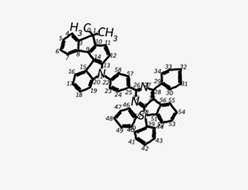 CC1(C)c2ccccc2-c2c1ccc1c2c2ccccc2n1-c1ccc(-c2nc(-c3ccccc3)c3c(n2)[Si](c2ccccc2)(c2ccccc2)c2ccccc2-3)cc1